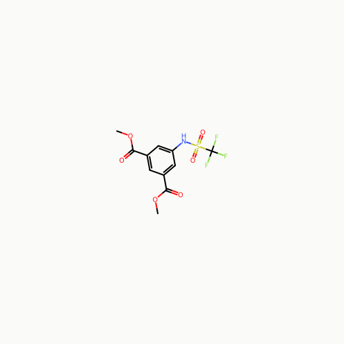 COC(=O)c1cc(NS(=O)(=O)C(F)(F)F)cc(C(=O)OC)c1